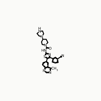 Cc1ncnc2ccc(-c3sc(NC(=O)N4CCC(N5CCNCC5)CC4)nc3-c3cccc(C#N)c3)cc12